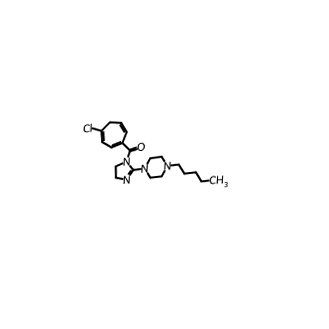 CCCCCN1CCN(C2=NCCN2C(=O)C2=CC=C(Cl)CC=C2)CC1